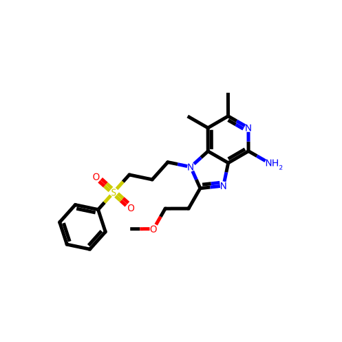 COCCc1nc2c(N)nc(C)c(C)c2n1CCCS(=O)(=O)c1ccccc1